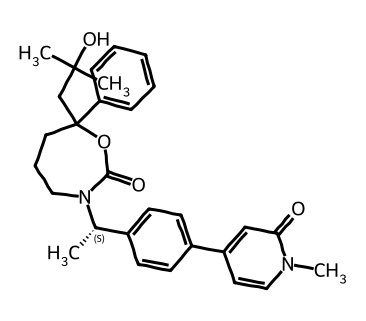 C[C@@H](c1ccc(-c2ccn(C)c(=O)c2)cc1)N1CCCC(CC(C)(C)O)(c2ccccc2)OC1=O